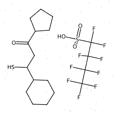 O=C(CC(S)C1CCCCC1)C1CCCC1.O=S(=O)(O)C(F)(F)C(F)(F)C(F)(F)C(F)(F)F